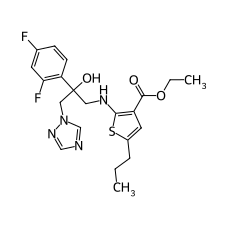 CCCc1cc(C(=O)OCC)c(NCC(O)(Cn2cncn2)c2ccc(F)cc2F)s1